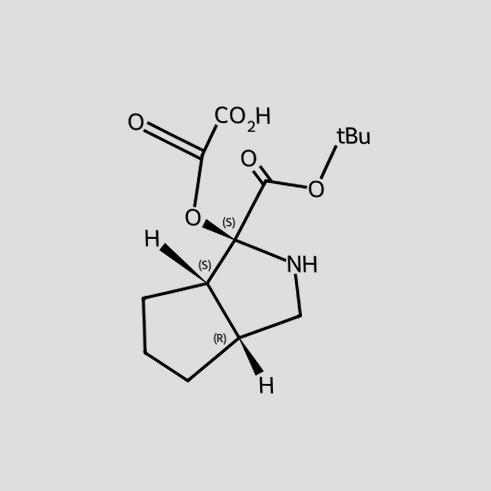 CC(C)(C)OC(=O)[C@]1(OC(=O)C(=O)O)NC[C@@H]2CCC[C@@H]21